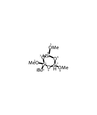 CCC(C)[Si]1(OC)O[SiH](OC)O[SiH](OC)O1